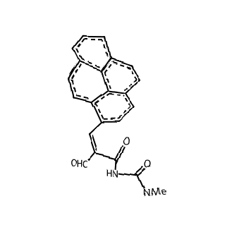 CNC(=O)NC(=O)C(C=O)=Cc1ccc2ccc3cccc4ccc1c2c34